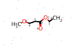 [CH2]COC(=O)CCOC